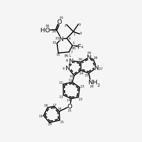 CC(C)(C)C1[C@@H](F)[C@H](n2nc(-c3ccc(Oc4ccccc4)cc3)c3c(N)ncnc32)CCN1C(=O)O